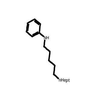 CCCCCCCCCCCCNc1cc[c]cc1